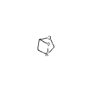 C1OC2CN1O2